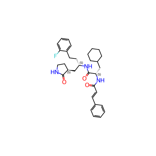 O=C(C=Cc1ccccc1)N[C@@H](CC1CCCCC1)C(=O)N[C@@H](CCc1ccccc1F)C[C@@H]1CCNC1=O